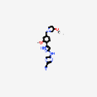 COc1cc(CN2CCC(OC)C2)ccc1-c1cc(Nc2cnc(C#N)cn2)n[nH]1